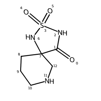 O=C1NS(=O)(=O)NC12CCCNC2